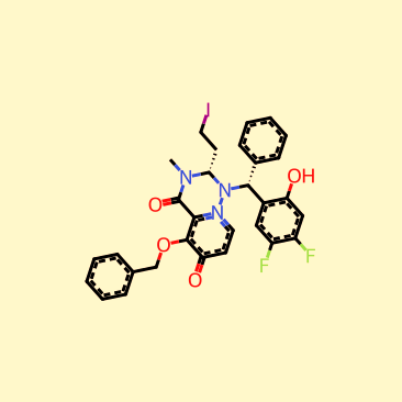 CN1C(=O)c2c(OCc3ccccc3)c(=O)ccn2N([C@H](c2ccccc2)c2cc(F)c(F)cc2O)[C@H]1CCI